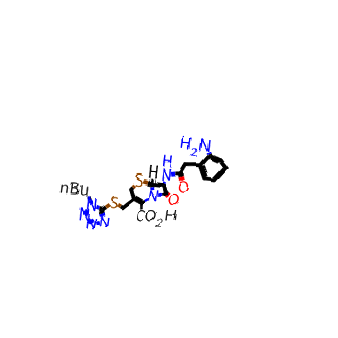 CCCCn1nnnc1SCC1=C(C(=O)O)N2C(=O)C(NC(=O)Cc3ccccc3N)[C@H]2SC1